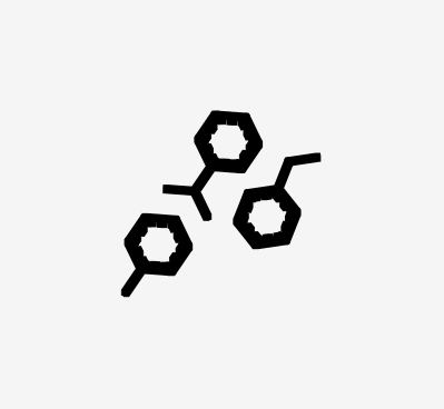 CC(C)c1ccccc1.CCc1ccccc1.Cc1ccccc1